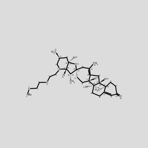 CCCCOCCOCCN1C[C@@H](C)C[C@H]2O[C@]3(CC[C@@H]4C(=C(C)C3)C[C@H]3[C@H]4CCC4=CC(=O)CC[C@@]43C)[C@H](C)[C@@H]21